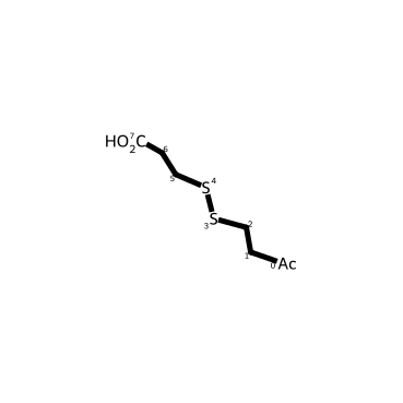 CC(=O)CCSSCCC(=O)O